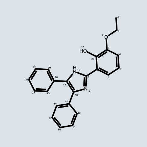 CCOc1cccc(-c2nc(-c3ccccc3)c(-c3ccccc3)[nH]2)c1O